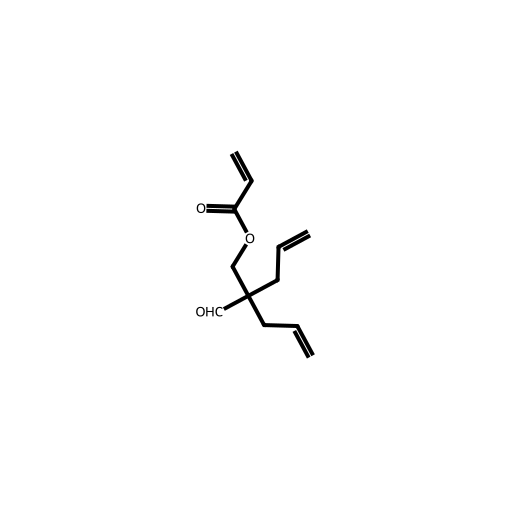 C=CCC(C=O)(CC=C)COC(=O)C=C